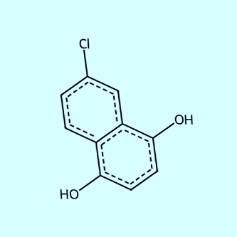 Oc1ccc(O)c2cc(Cl)ccc12